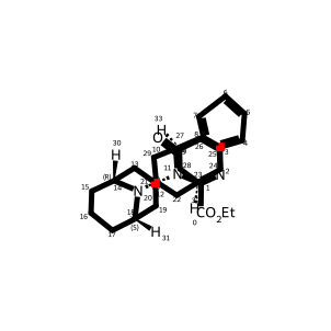 CCOC(=O)c1nc2ccccc2c(=O)n1[C@H]1C[C@H]2CCC[C@@H](C1)N2[C@H]1C[C@@H]2CCC[C@@H](C2)C1